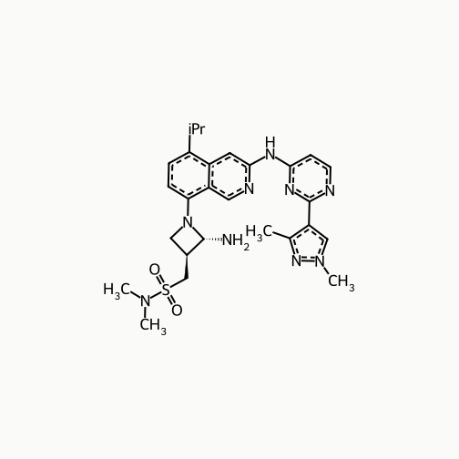 Cc1nn(C)cc1-c1nccc(Nc2cc3c(C(C)C)ccc(N4C[C@H](CS(=O)(=O)N(C)C)[C@H]4N)c3cn2)n1